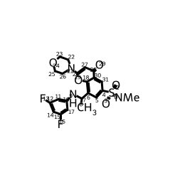 CNS(=O)(=O)c1cc(C(C)Nc2cc(F)cc(F)c2)c2oc(N3CCOCC3)cc(=O)c2c1